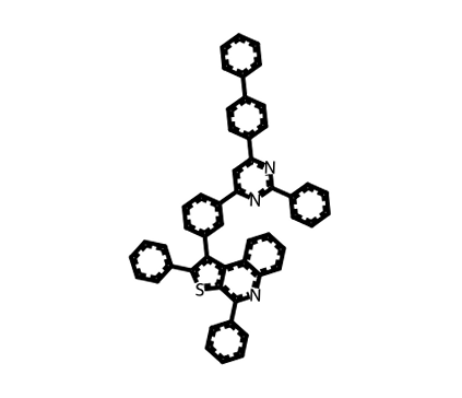 c1ccc(-c2ccc(-c3cc(-c4cccc(-c5c(-c6ccccc6)sc6c(-c7ccccc7)nc7ccccc7c56)c4)nc(-c4ccccc4)n3)cc2)cc1